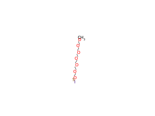 COCCOCCOCCOCCOCCOCCOSI